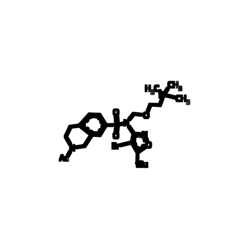 CC(=O)N1CCc2ccc(S(=O)(=O)N(COCC[Si](C)(C)C)c3noc(C(C)(C)C)c3Br)cc2C1